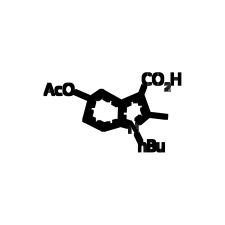 CCCCn1c(C)c(C(=O)O)c2cc(OC(C)=O)ccc21